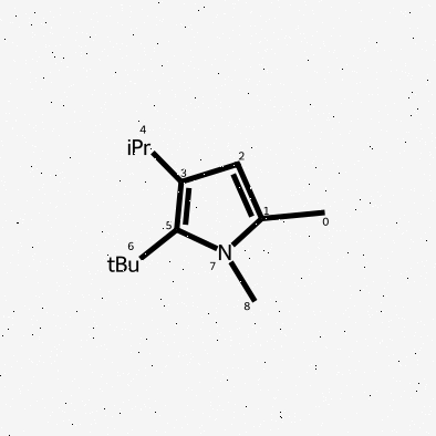 Cc1cc(C(C)C)c(C(C)(C)C)n1C